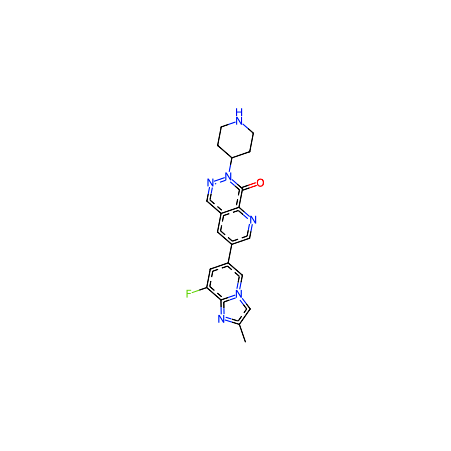 Cc1cn2cc(-c3cnc4c(=O)n(C5CCNCC5)ncc4c3)cc(F)c2n1